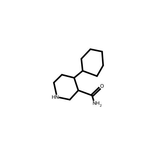 NC(=O)C1CNCCC1C1CCCCC1